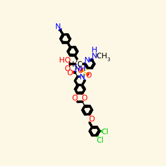 CNc1ccc(S(=O)(=O)N2Cc3cc4c(cc3C[C@H]2C(=O)N[C@@H](Cc2ccc(-c3ccc(C#N)cc3)cc2)C(=O)O)OC[C@H](c2ccc(OCc3ccc(Cl)c(Cl)c3)cc2)O4)c(C)n1